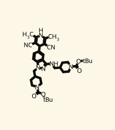 CC1=C(C#N)C(c2ccc3c(c2)c(NCC2CCN(C(=O)OC(C)(C)C)CC2)nn3CC2CCN(C(=O)OC(C)(C)C)CC2)C(C#N)=C(C)N1